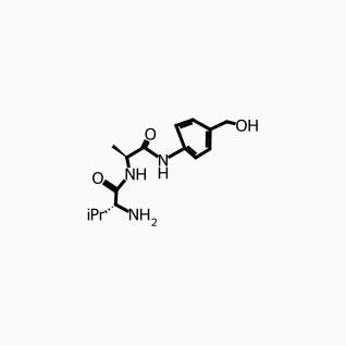 CC(C)[C@@H](N)C(=O)N[C@@H](C)C(=O)Nc1ccc(CO)cc1